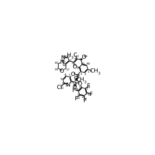 Cc1cc([C@@H](C)Oc2ccc(Cl)nc2S(=O)(=O)Oc2c(F)c(F)c(F)c(F)c2F)c2oc(-c3cnn4c3COCC4)c(C)c(=O)c2c1